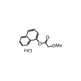 COCC(=O)Oc1cccc2ccccc12.Cl